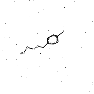 CC(C)(C)OOOCc1ccc(F)cc1